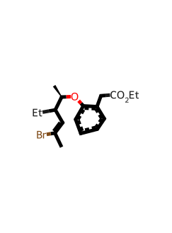 CCOC(=O)Cc1ccccc1O[C@H](C)C(C=C(C)Br)CC